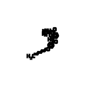 C=CCCC/C=C/COc1ccc(C(=O)Nc2cccc3c(=O)cc(-c4nnn[nH]4)oc23)cc1